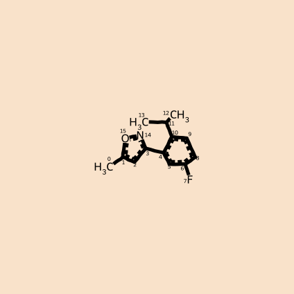 Cc1cc(-c2cc(F)ccc2C(C)C)no1